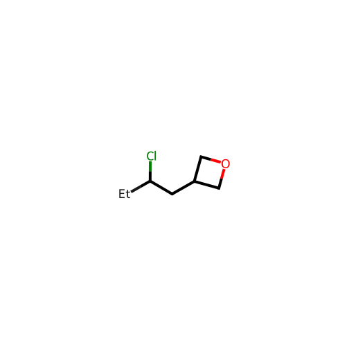 CCC(Cl)CC1COC1